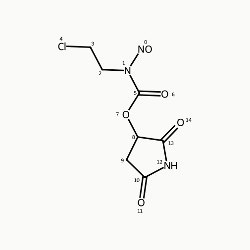 O=NN(CCCl)C(=O)OC1CC(=O)NC1=O